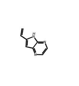 C=Cc1cc2nccnc2[nH]1